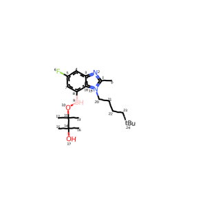 Cc1nc2cc(F)cc(BOC(C)(C)C(C)(C)O)c2n1CCCCC(C)(C)C